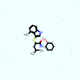 Cc1cccc2[nH]cc(SC(CC(C)C)C(=O)N[C@H]3CCCC[C@@H]3O)c12